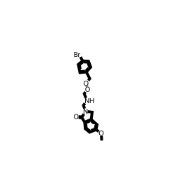 COc1ccc2c(c1)CN(CNCOOCc1ccc(Br)cc1)C2=O